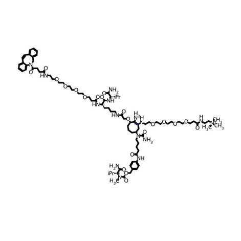 CC(C)[C@H](NC(=O)[C@@H](CCCCNC(=O)COC1CCCC(N(CCCCC(=O)Nc2ccc(COC(=O)N(C)[C@H](C(N)=O)C(C)C)cc2)C(N)=O)C/C(NCCOCCOCCOCCOCCC(=O)NCC[N+](C)(C)C)=C\1N)NC(=O)CCOCCOCCOCCOCCNC(=O)CCC(=O)N1Cc2ccccc2C#Cc2ccccc21)C(N)=O